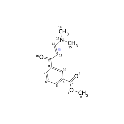 COC(=O)c1cccc(C(=O)/C=C/N(C)C)c1